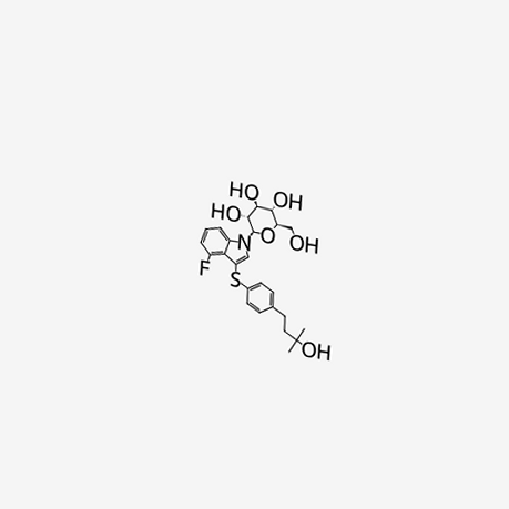 CC(C)(O)CCc1ccc(Sc2cn([C@@H]3O[C@H](CO)[C@@H](O)[C@H](O)[C@H]3O)c3cccc(F)c23)cc1